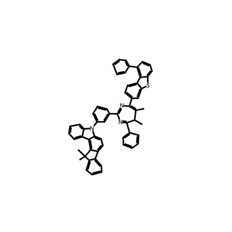 CC1=C(c2ccc3c(c2)sc2cccc(-c4ccccc4)c23)N=C(c2cccc(-n3c4ccccc4c4c5c(ccc43)-c3ccccc3C5(C)C)c2)N=C(c2ccccc2)C1C